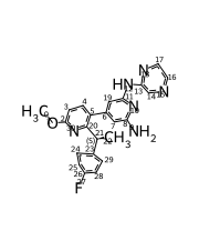 COc1ccc(-c2cc(N)nc(Nc3cnccn3)c2)c([C@@H](C)c2ccc(F)cc2)n1